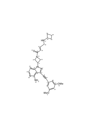 COc1cc(C#Cc2nn(C3CN(C(=O)C=CCNC4CCC4)C3)c3ncnc(N)c23)cc(OC)c1